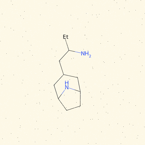 CCC(N)CC1CC2CCC(C1)N2